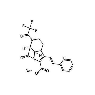 O=C([O-])C1=C(/C=C/c2ccccn2)C2CCN(C(=O)C(F)(F)F)[C@@H]3C(=O)N1[C@H]23.[Na+]